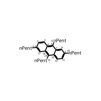 CCCCCc1ccc2c(CCCCC)c3cc(CCCCC)ccc3c(CCCCC)c2c1